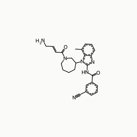 Cc1cccc2nc(NC(=O)c3cccc(C#N)c3)n(C3CCCCN(C(=O)/C=C/CN)C3)c12